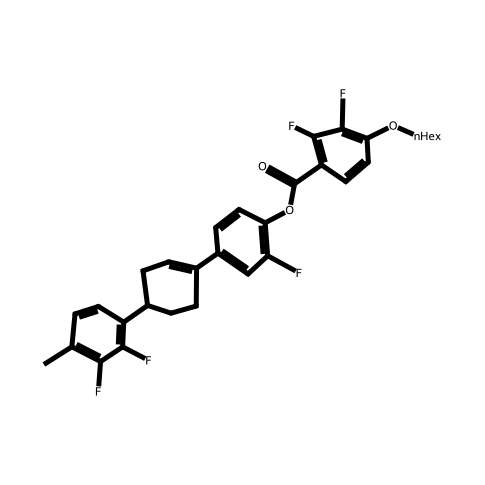 CCCCCCOc1ccc(C(=O)Oc2ccc(C3=CCC(c4ccc(C)c(F)c4F)CC3)cc2F)c(F)c1F